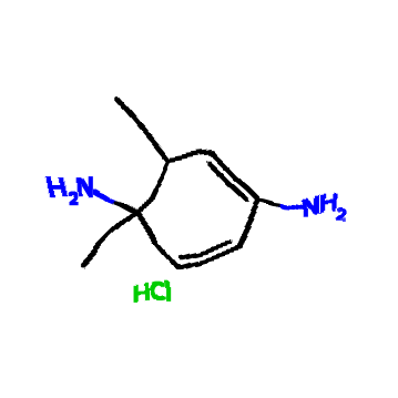 CC1C=C(N)C=CC1(C)N.Cl